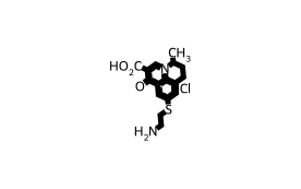 CC1CCc2cc(SCCN)cc3c(=O)c(C(=O)O)cn1c23.Cl